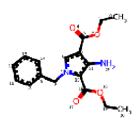 CCOC(=O)c1cn(Cc2ccccc2)c(C(=O)OCC)c1N